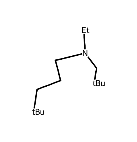 CCN(CCCC(C)(C)C)CC(C)(C)C